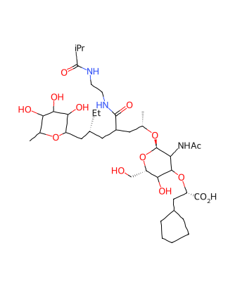 CC[C@H](CC(C[C@H](C)O[C@@H]1O[C@@H](CO)C(O)C(O[C@@H](CC2CCCCC2)C(=O)O)C1NC(C)=O)C(=O)NCCNC(=O)C(C)C)CC1OC(C)C(O)C(O)C1O